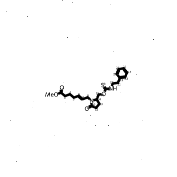 COC(=O)CCCC=CCN1C(=O)CCC1COC(=S)NCCc1ccccc1